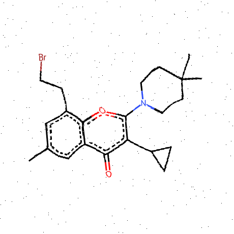 Cc1cc(CCBr)c2oc(N3CCC(C)(C)CC3)c(C3CC3)c(=O)c2c1